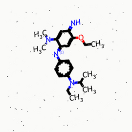 CCOC1=C/C(=N\c2ccc(N(CC)C(C)C)cc2)C(N(C)C)=CC1=N